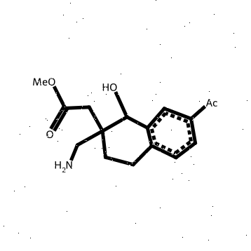 COC(=O)CC1(CN)CCc2ccc(C(C)=O)cc2C1O